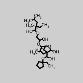 CCC1(OC(O)C23CC(C)C(OC(O)COC(O)[C@](C)(CC)CC(C)C)C(OC2O)C3C)CCCC1